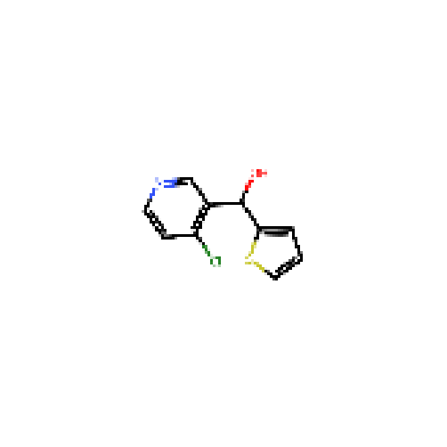 OC(c1cccs1)c1cnccc1Cl